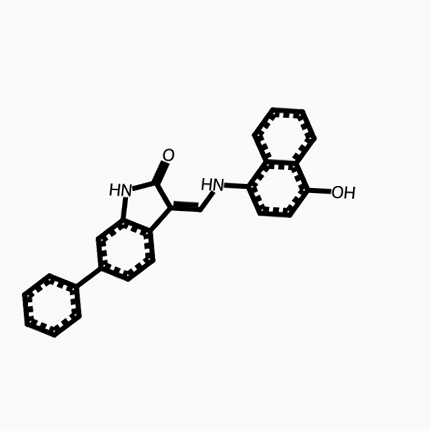 O=C1Nc2cc(-c3ccccc3)ccc2C1=CNc1ccc(O)c2ccccc12